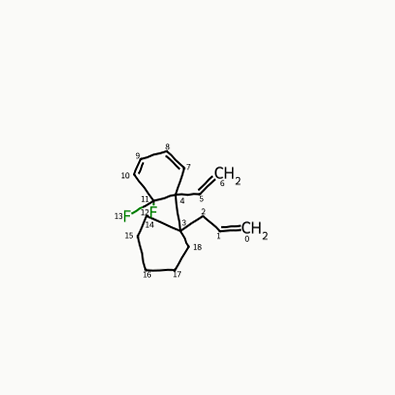 C=CCC1(C2(C=C)C=CC=CC2(F)F)CCCCC1